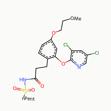 CCCCCS(=O)(=O)NC(=O)CCc1ccc(OCCOC)cc1Oc1ncc(Cl)cc1Cl